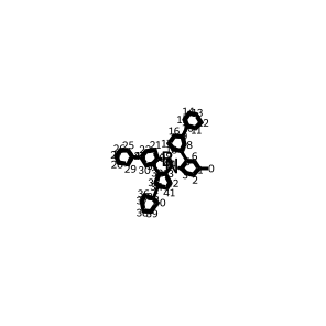 Cc1ccc2c(c1)-c1cc(-c3ccccc3)ccc1B1c3ccc(-c4ccccc4)cc3-c3cc(-c4ccccc4)ccc3N12